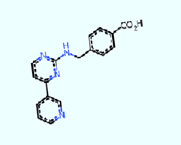 O=C(O)c1ccc(CNc2nccc(-c3cccnc3)n2)cc1